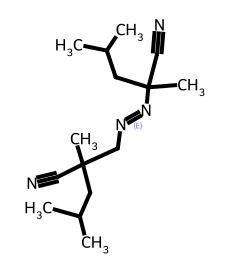 CC(C)CC(C)(C#N)C/N=N/C(C)(C#N)CC(C)C